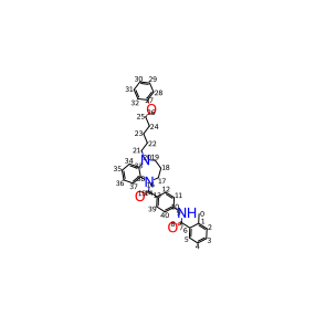 Cc1ccccc1C(=O)Nc1ccc(C(=O)N2CCCN(CCCCCOc3ccccc3)c3ccccc32)cc1